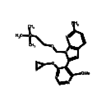 COc1ncnc(OC2CC2)c1-c1cc2ccc(N)nc2n1COCC[Si](C)(C)C